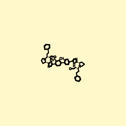 Cc1c(-c2ccc(-c3cnc([C@@H]4CCCN4[C@@H](C[C]=O)CCc4ccccc4)[nH]3)cc2)ccc(-c2cnc([C@@H]3CCCN3[C@@H](C[C]=O)CCc3ccccc3)[nH]2)c1C